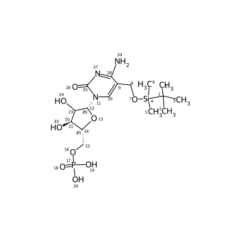 CC(C)(C)[Si](C)(C)OCc1cn([C@@H]2O[C@H](COP(=O)(O)O)[C@@H](O)C2O)c(=O)nc1N